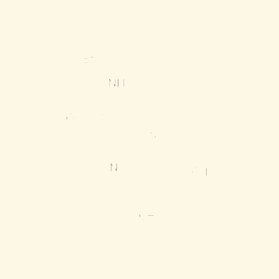 CCNC(=O)c1nc(C)c(C)s1